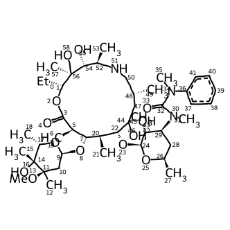 CC[C@H]1OC(=O)[C@H](C)[C@@H](O[C@H]2C[C@@](C)(OC)[C@](C)(O)[C@H](C)O2)[C@H](C)[C@@H](O[C@@H]2O[C@H](C)C[C@H](N(C)C(=O)N(C)c3ccccc3)[C@H]2O)[C@](C)(O)C[C@@H](C)CN[C@H](C)[C@@H](O)[C@]1(C)O